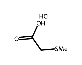 CSCC(=O)O.Cl